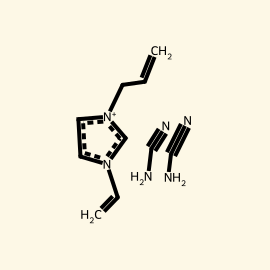 C=CC[n+]1ccn(C=C)c1.N#CN.N#CN